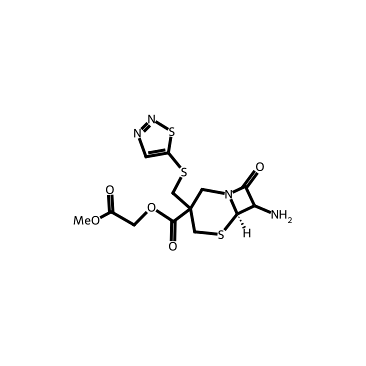 COC(=O)COC(=O)C1(CSc2cnns2)CS[C@@H]2C(N)C(=O)N2C1